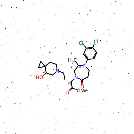 COC(=O)[C@H](CCN1CCC2(CC2)[C@H](O)C1)N1C[C@@H](C)N(c2ccc(Cl)c(Cl)c2)CCC1=O